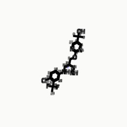 CC(C)(O)c1cnc(OC/C(=C/Nc2ccc(Cl)c(C(C)(F)F)c2)N=N)nc1